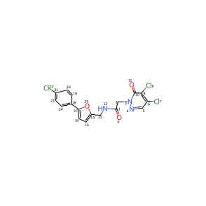 O=C(Cn1ncc(Cl)c(Cl)c1=O)NCc1ccc(-c2ccc(Cl)cc2)o1